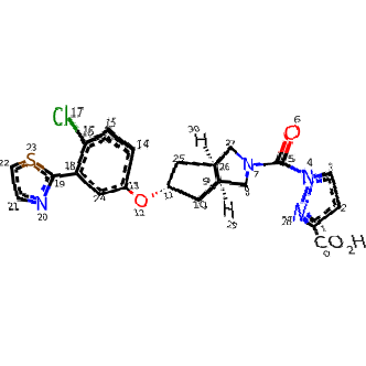 O=C(O)c1ccn(C(=O)N2C[C@H]3C[C@H](Oc4ccc(Cl)c(-c5nccs5)c4)C[C@H]3C2)n1